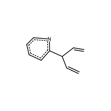 C=CC(C=C)c1ccccn1